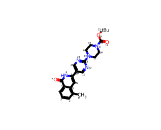 Cc1cccc2c(=O)[nH]c(-c3cnc(N4CCN(C(=O)OC(C)(C)C)CC4)nc3)cc12